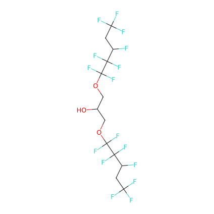 OC(COC(F)(F)C(F)(F)C(F)CC(F)(F)F)COC(F)(F)C(F)(F)C(F)CC(F)(F)F